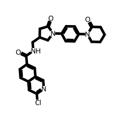 O=C(NCC1CC(=O)N(c2ccc(N3CCCCC3=O)cc2)C1)c1ccc2cc(Cl)ncc2c1